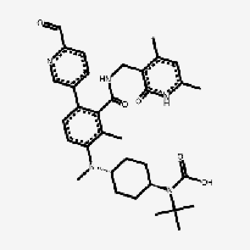 Cc1cc(C)c(CNC(=O)c2c(-c3ccc(C=O)nc3)ccc(N(C)[C@H]3CC[C@H](N(C(=O)O)C(C)(C)C)CC3)c2C)c(=O)[nH]1